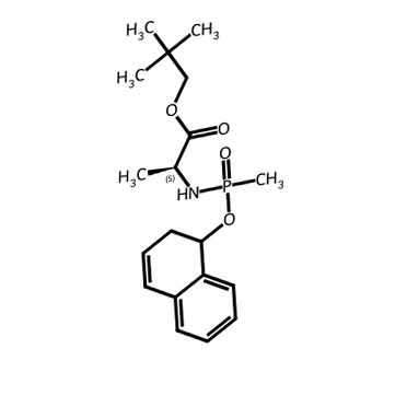 C[C@H](NP(C)(=O)OC1CC=Cc2ccccc21)C(=O)OCC(C)(C)C